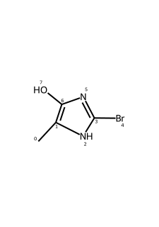 Cc1[nH]c(Br)nc1O